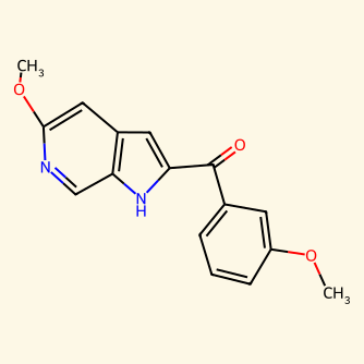 COc1cccc(C(=O)c2cc3cc(OC)ncc3[nH]2)c1